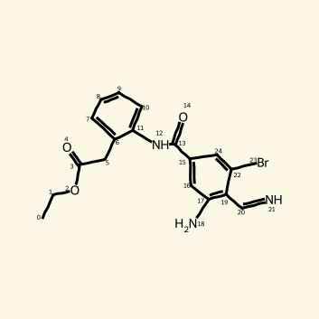 CCOC(=O)Cc1ccccc1NC(=O)c1cc(N)c(C=N)c(Br)c1